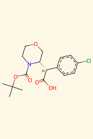 CC(C)(C)OC(=O)N1CCOCC1[C@@H](C(=O)O)c1ccc(Cl)cc1